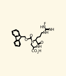 N=C(NF)NCCCC1C(=O)NC(C(=O)O)CN1C(=O)OCC1c2ccccc2-c2ccccc21